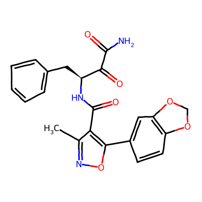 Cc1noc(-c2ccc3c(c2)OCO3)c1C(=O)N[C@@H](Cc1ccccc1)C(=O)C(N)=O